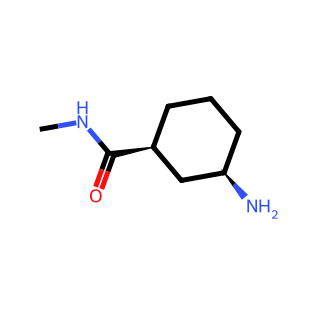 CNC(=O)[C@H]1CCC[C@@H](N)C1